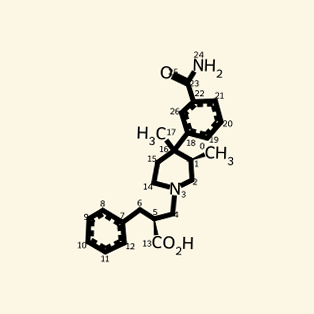 C[C@H]1CN(C[C@H](Cc2ccccc2)C(=O)O)CCC1(C)c1cccc(C(N)=O)c1